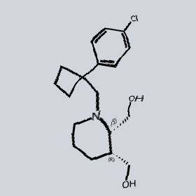 OC[C@@H]1CCCN(CC2(c3ccc(Cl)cc3)CCC2)[C@@H]1CO